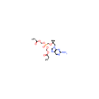 CCCC(=O)OCOP(=O)(COC1(Cn2cnc3cnc(N)nc32)CC1)OCOC(=O)CC(C)C